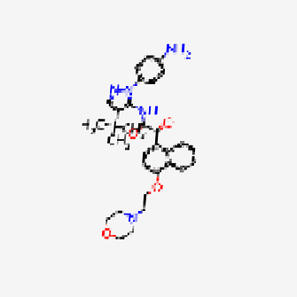 CC(C)(C)c1cnn(-c2ccc(N)cc2)c1NC(=O)C(=O)c1ccc(OCCN2CCOCC2)c2ccccc12